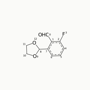 O=Cc1c(F)cccc1C1OCCO1